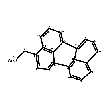 CC(=O)OCc1ccc2c3cccc4cccc(c5cccc1c52)c43